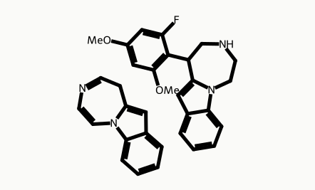 C1=Cn2c(cc3ccccc32)CC=N1.COc1cc(F)c(C2CNCCn3c2cc2ccccc23)c(OC)c1